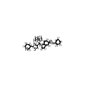 Cl.Cl.O=C(C1CSC(c2cccnc2)N1)n1ccc2cc(OCc3ccccc3)ccc21